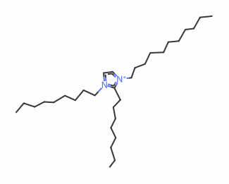 CCCCCCCCCCC[n+]1ccn(CCCCCCCCC)c1CCCCCCCC